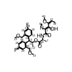 C=N/C(C(=O)N[C@@H](C)C(=O)O[C@@H](C)C(c1ccc(F)cc1COC)c1ccc(F)cc1COC)=C(O)\C(=C/C)OC